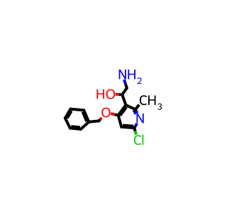 Cc1nc(Cl)cc(OCc2ccccc2)c1C(O)CN